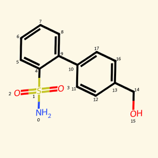 NS(=O)(=O)c1ccccc1-c1ccc(CO)cc1